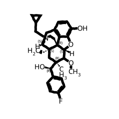 C=C[C@@]12C[C@](C)([C@H](O)c3ccc(F)cc3)C(OC)[C@H]3Oc4c(O)ccc5c4[C@]31CCN(CC1CC1)[C@H]2C5